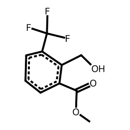 COC(=O)c1cccc(C(F)(F)F)c1CO